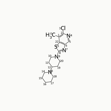 Cc1c(Cl)ncc2nc(N3CCC(N4CCCCC4)CC3)sc12